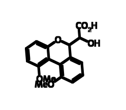 COc1cccc2c1-c1c(OC)cccc1C(C(O)C(=O)O)O2